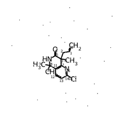 C=CCC1(C)C(=O)NC(C)(C)c2ccc(Cl)nc21